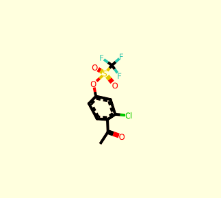 CC(=O)c1ccc(OS(=O)(=O)C(F)(F)F)cc1Cl